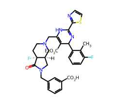 CCOC(=O)C1=C(CN2CC[C@]3(F)C(=O)N(Cc4cccc(C(=O)O)c4)C[C@@H]3C2)NC(c2nccs2)=NC1c1cccc(F)c1C